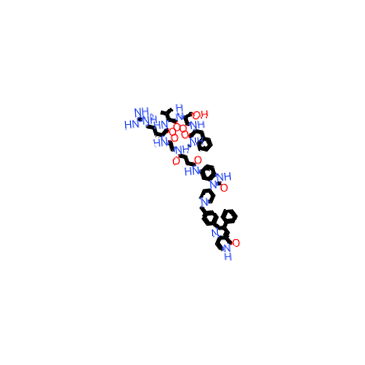 CNC(=O)C(Cc1ccccc1)NC(=O)C(CO)NC(=O)C(NC(=O)C(CCCNC(=N)N)NC(=O)CNC(=O)CCC(=O)Nc1ccc2[nH]c(=O)n(C3CCN(Cc4ccc(-c5nc6cc[nH]c(=O)c6cc5-c5ccccc5)cc4)CC3)c2c1)C(C)C